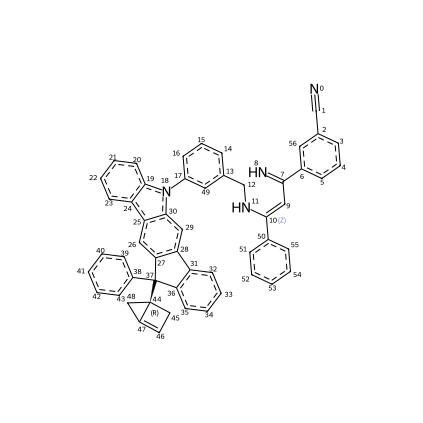 N#Cc1cccc(C(=N)/C=C(\NCc2cccc(-n3c4ccccc4c4cc5c(cc43)-c3ccccc3C5(c3ccccc3)[C@@]34CC=C3C4)c2)c2ccccc2)c1